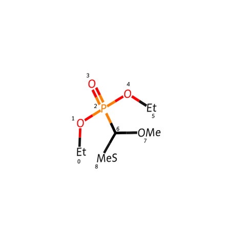 CCOP(=O)(OCC)C(OC)SC